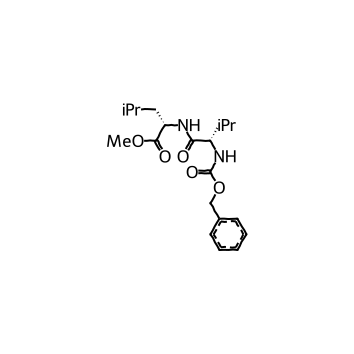 COC(=O)[C@H](CC(C)C)NC(=O)[C@@H](NC(=O)OCc1ccccc1)C(C)C